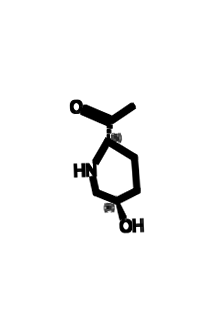 CC(=O)[C@@H]1CC[C@@H](O)CN1